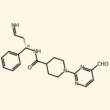 N=CC[C@H](NC(=O)C1CCN(c2nccc(C=O)n2)CC1)c1ccccc1